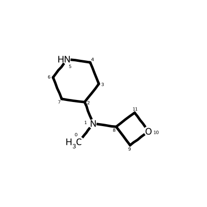 CN(C1CCNCC1)C1COC1